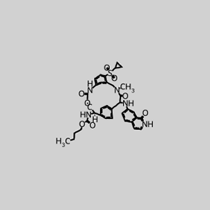 CCCCOC(=O)N[C@H]1COC(=O)Nc2ccc(S(=O)(=O)C3CC3)c(c2)CN(C)C(=O)C(Nc2ccc3cc[nH]c(=O)c3c2)c2ccc1cc2